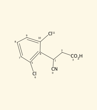 N#CC(CC(=O)O)c1c(Cl)cccc1Cl